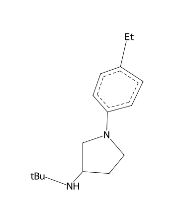 CCc1ccc(N2CCC(NC(C)(C)C)C2)cc1